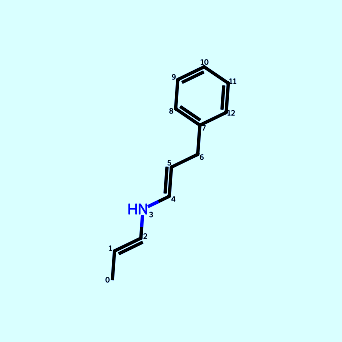 CC=CNC=CCc1ccccc1